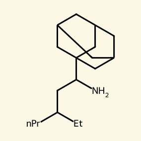 CCCC(CC)CC(N)C12CC3CC(CC(C3)C1)C2